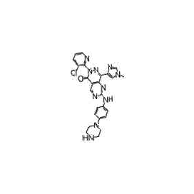 Cn1cnc(-c2nn(-c3ncccc3Cl)c(=O)c3cnc(Nc4ccc(N5CCNCC5)cc4)nc23)c1